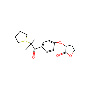 CC(C)(C(=O)c1ccc(OC2CCOC2=O)cc1)[S+]1CCCC1